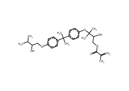 C=C(C)C(=O)OCC(O)C(C)(C)Oc1ccc(C(C)(C)c2ccc(OCC(O)C(C)C)cc2)cc1